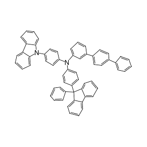 c1ccc(-c2ccc(-c3cccc(N(c4ccc(-n5c6ccccc6c6ccccc65)cc4)c4ccc(C5(c6ccccc6)c6ccccc6-c6ccccc65)cc4)c3)cc2)cc1